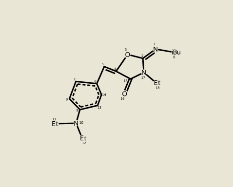 CCC(C)/N=C1/O/C(=C/c2ccc(N(CC)CC)cc2)C(=O)N1CC